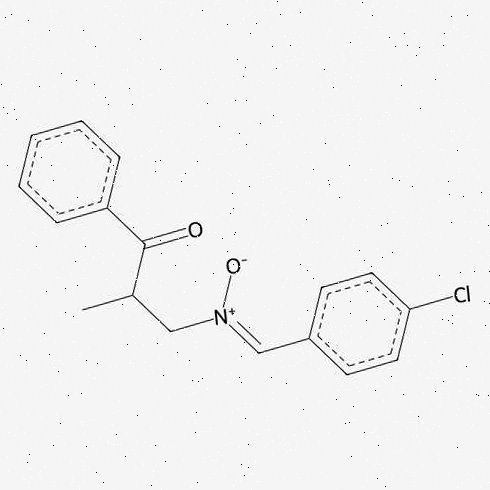 CC(C[N+]([O-])=Cc1ccc(Cl)cc1)C(=O)c1ccccc1